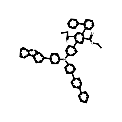 CCOC(=O)c1cc(-c2ccc(N(c3ccc(-c4ccc(-c5ccccc5)cc4)cc3)c3ccc(-c4ccc5c(c4)sc4ccccc45)cc3)cc2)c(C(=O)CC)cc1-c1ccccc1-c1ccccc1